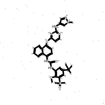 COc1c(NC(=O)Nc2ccc(Oc3ccnc(Nc4cnn(C)c4)n3)c3ccccc23)cc(C(C)(C)C)cc1P(C)(C)=O